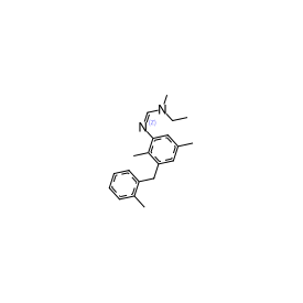 CCN(C)/C=N\c1cc(C)cc(Cc2ccccc2C)c1C